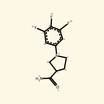 NC(=O)C1CCN(c2cc(F)c(F)c(F)c2)C1